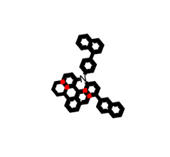 c1ccc(N(c2ccc(-c3ccc4ccccc4c3)cc2)c2ccc(-c3cccc4ccccc34)cc2)c(-c2cccc3cccc(C4CCCCC4)c23)c1